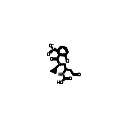 O=CCC(CN(C(=O)c1c(Cl)cccc1[N+](=O)[O-])C1CC1)NC(=O)O